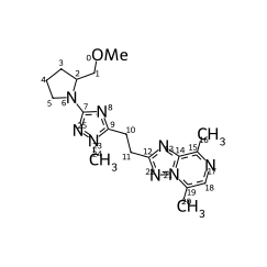 COCC1CCCN1c1nc(CCc2nc3c(C)ncc(C)n3n2)n(C)n1